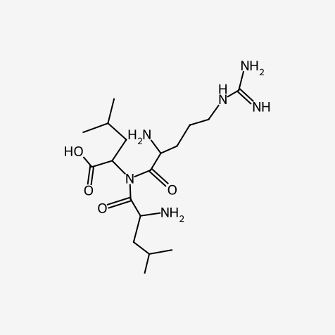 CC(C)CC(N)C(=O)N(C(=O)C(N)CCCNC(=N)N)C(CC(C)C)C(=O)O